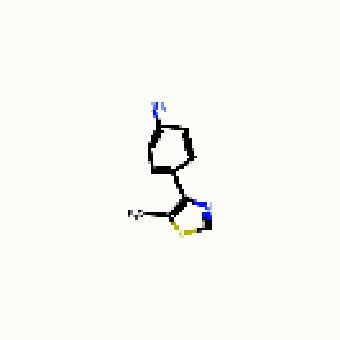 Nc1ccc(-c2ncsc2C(F)(F)F)cc1